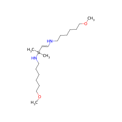 COCCCCCCNC=C[Si](C)(C)NCCCCCCOC